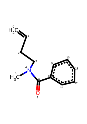 C=CCCN(C)C(=O)c1ccccc1